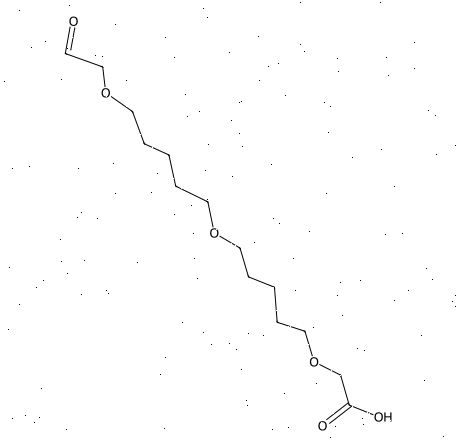 O=CCOCCCCCOCCCCCOCC(=O)O